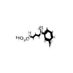 CCN(CCCNC(=O)O)c1cccc(F)c1